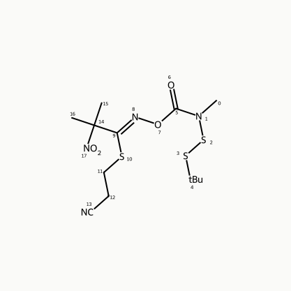 CN(SSC(C)(C)C)C(=O)ON=C(SCCC#N)C(C)(C)[N+](=O)[O-]